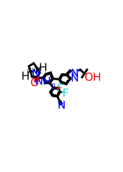 CC(C)(O)Cn1cc2cc(-c3ccc(C(=O)N4[C@@H]5CC[C@H]4C[C@@H](N)C5)cc3-c3ccc(C#N)c(F)c3)c(F)cc2n1